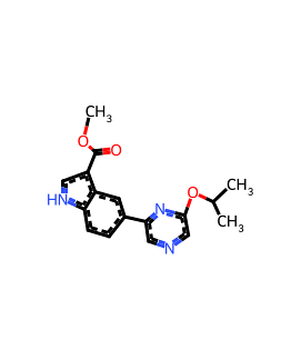 COC(=O)c1c[nH]c2ccc(-c3cncc(OC(C)C)n3)cc12